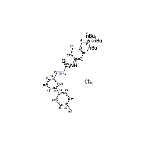 CCCC[P+](CCCC)(CCCC)Cc1ccc(NC(=O)/C=C/c2cccc(-c3ccc(C)cc3)c2)cc1.[Cl-]